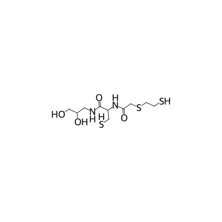 O=C(CSCCS)NC(CS)C(=O)NCC(O)CO